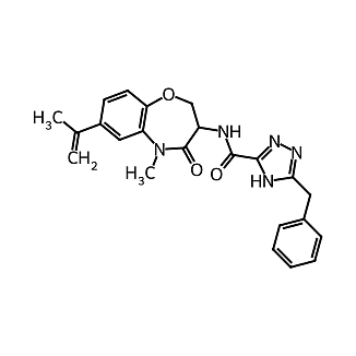 C=C(C)c1ccc2c(c1)N(C)C(=O)C(NC(=O)c1nnc(Cc3ccccc3)[nH]1)CO2